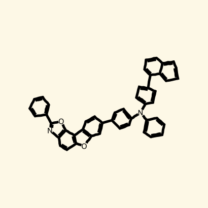 c1ccc(-c2nc3ccc4oc5cc(-c6ccc(N(c7ccccc7)c7ccc(-c8cccc9ccccc89)cc7)cc6)ccc5c4c3o2)cc1